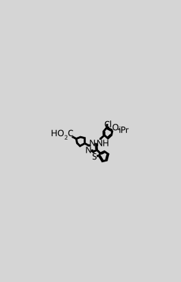 CC(C)Oc1ccc(CNc2nc(C3CCC(CC(=O)O)CC3)nc3sc4ccccc4c23)cc1Cl